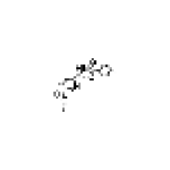 CCOC(=O)c1c(C)cc(C=NNS(=O)(=O)c2ccc(C)cc2)nc1C